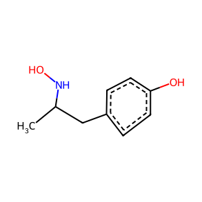 CC(Cc1ccc(O)cc1)NO